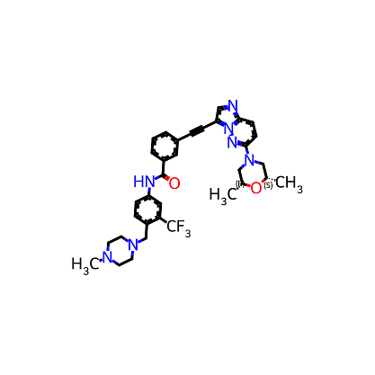 C[C@@H]1CN(c2ccc3ncc(C#Cc4cccc(C(=O)Nc5ccc(CN6CCN(C)CC6)c(C(F)(F)F)c5)c4)n3n2)C[C@H](C)O1